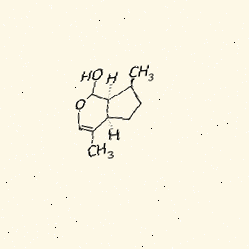 CC1=COC(O)[C@H]2[C@@H](C)CC[C@@H]12